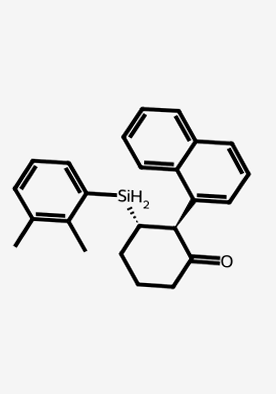 Cc1cccc([SiH2][C@H]2CCCC(=O)[C@@H]2c2cccc3ccccc23)c1C